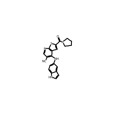 N#Cc1cnc2sc(C(=O)N3CCCC3)cc2c1Nc1ccc2[nH]ccc2c1